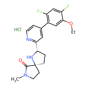 CCOc1cc(-c2ccnc([C@@H]3CC[C@@]4(CCN(C)C4=O)N3)c2)c(F)cc1F.Cl